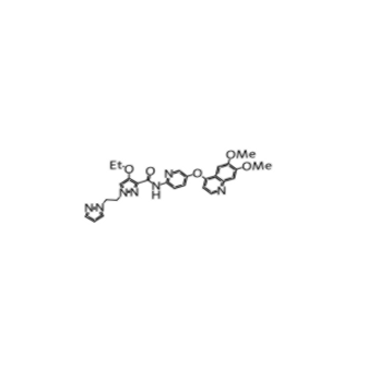 CCOc1cn(CCn2cccn2)nc1C(=O)Nc1ccc(Oc2ccnc3cc(OC)c(OC)cc23)cn1